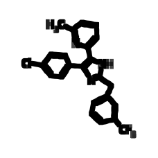 Cc1cccc(-c2[nH]c(Cc3cccc(C(F)(F)F)c3)nc2-c2ccc(Cl)cc2)n1